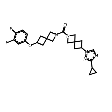 O=C(N1CC2(CC(Oc3ccc(F)c(F)c3)C2)C1)N1CC2(CC(n3cnc(C4CC4)n3)C2)C1